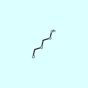 CCCO[CH]OCCl